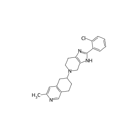 Cc1cc2c(cn1)CCC(N1CCc3nc(-c4ccccc4Cl)[nH]c3C1)C2